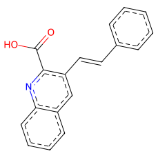 O=C(O)c1nc2ccccc2cc1C=Cc1ccccc1